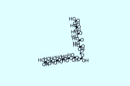 O=C(O)O.O=C(O)O.O=C(O)O.O=C(O)O.O=C(O)O.O=C(O)O.O=C(O)O.O=C(O)O.O=C(O)O.O=C(O)O.O=C(O)O.O=C(O)OCCl